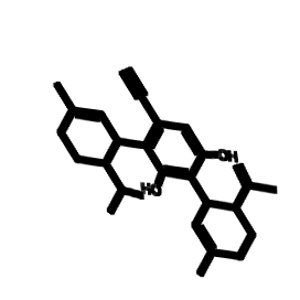 C#Cc1cc(O)c(C2C=C(C)CCC2C(=C)C)c(O)c1C1C=C(C)CCC1C(C)C